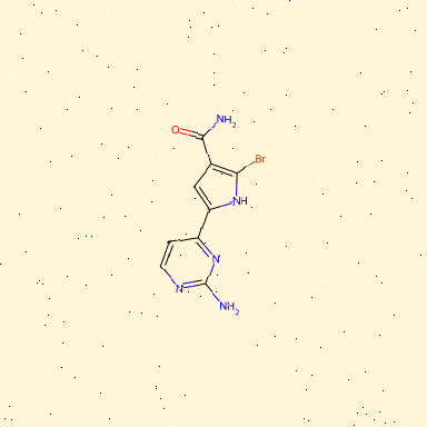 NC(=O)c1cc(-c2ccnc(N)n2)[nH]c1Br